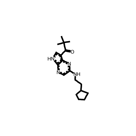 CC(C)(C)C(=O)c1c[nH]c2ncc(NCCC3CCCC3)nc12